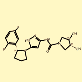 O=C(Nc1cc(N2CCC[C@@H]2c2cc(F)ccc2F)[nH]n1)N1C[C@@H](O)[C@H](O)C1